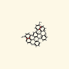 CC(C)c1c(N2c3ccccc3Sc3ccccc32)c(-c2ccc(F)cc2)cc(-c2ccc(F)cc2)c1N1c2ccccc2Sc2ccccc21